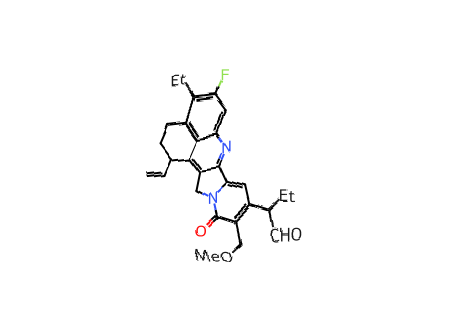 C=CC1CCc2c(CC)c(F)cc3nc4c(c1c23)Cn1c-4cc(C(C=O)CC)c(COC)c1=O